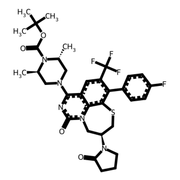 C[C@@H]1CN(c2nc(=O)n3c4c(c(-c5ccc(F)cc5)c(C(F)(F)F)cc24)SC[C@@H](N2CCCC2=O)C3)C[C@@H](C)N1C(=O)OC(C)(C)C